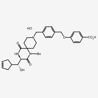 CCCCN1C(=O)[C@@H]([C@H](O)C2CC=CC2)NC(=O)C12CCN(Cc1ccc(COc3ccc(C(=O)O)cc3)cc1)CC2.Cl